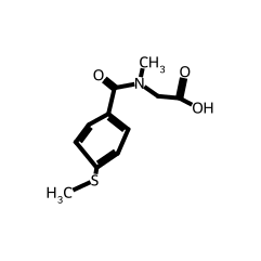 CSc1ccc(C(=O)N(C)CC(=O)O)cc1